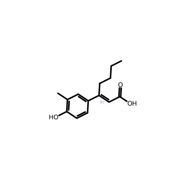 CCCC/C(=C\C(=O)O)c1ccc(O)c(C)c1